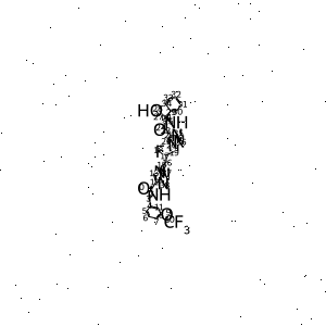 O=C(NCc1cccc(OC(F)(F)F)c1)c1cn(CCC(F)Cn2cc(C(=O)N[C@H](CO)c3ccccc3)nn2)nn1